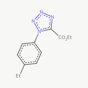 CCOC(=O)c1nnnn1-c1ccc(CC)cc1